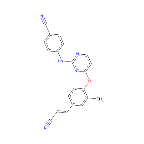 Cc1cc(/C=C/C#N)ccc1Oc1ccnc(Nc2ccc(C#N)cc2)n1